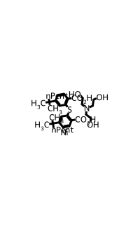 CCCCCC(C)(C)c1ccc(C(=O)O)c(Sc2cc(C(C)(C)CCCCC)ccc2C(=O)O)c1.OCCN(CCO)CCO.[Ni]